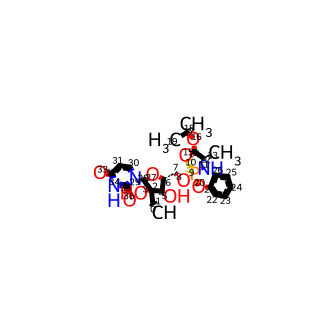 C#C[C@@]1(O)[C@H](O)[C@@H](CO[P@@](=S)(N[C@@H](C)C(=O)OC(C)C)Oc2ccccc2)O[C@H]1n1ccc(=O)[nH]c1=O